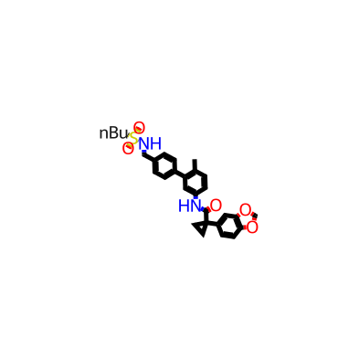 CCCCS(=O)(=O)NCc1ccc(-c2cc(NC(=O)C3(c4ccc5c(c4)OCO5)CC3)ccc2C)cc1